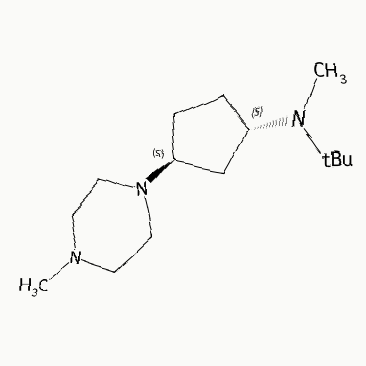 CN1CCN([C@H]2CC[C@H](N(C)C(C)(C)C)C2)CC1